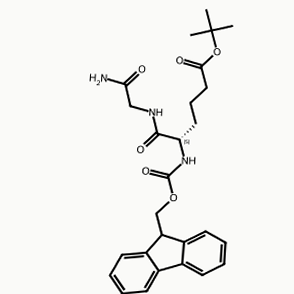 CC(C)(C)OC(=O)CCC[C@H](NC(=O)OCC1c2ccccc2-c2ccccc21)C(=O)NCC(N)=O